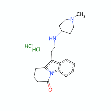 CN1CCC(NCCc2c3n(c4ccccc24)C(=O)CCC3)CC1.Cl.Cl